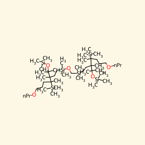 CCCOCCCC(C)(C(C)(CC[Si](C)(C)CO[Si](C)(C)CCC(C)(C(C)(C)O[Si](C)(C)C)C(C)(CCCOCCC)[Si](C)(C)C)C(C)(C)O[Si](C)(C)C)[Si](C)(C)C